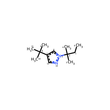 CCC(C)(C)n1cc(C(C)(C)C)cn1